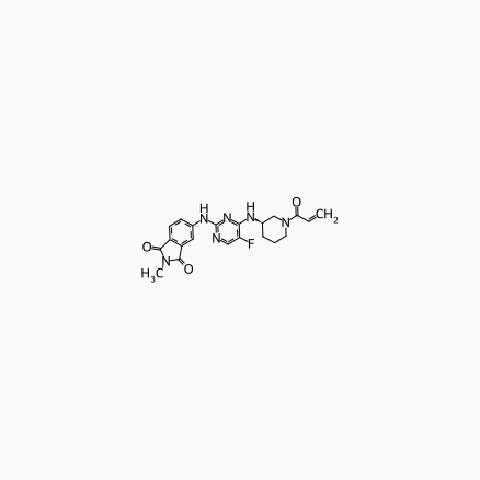 C=CC(=O)N1CCC[C@@H](Nc2nc(Nc3ccc4c(c3)C(=O)N(C)C4=O)ncc2F)C1